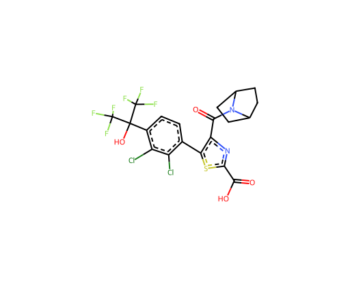 O=C(O)c1nc(C(=O)N2C3CCC2CC3)c(-c2ccc(C(O)(C(F)(F)F)C(F)(F)F)c(Cl)c2Cl)s1